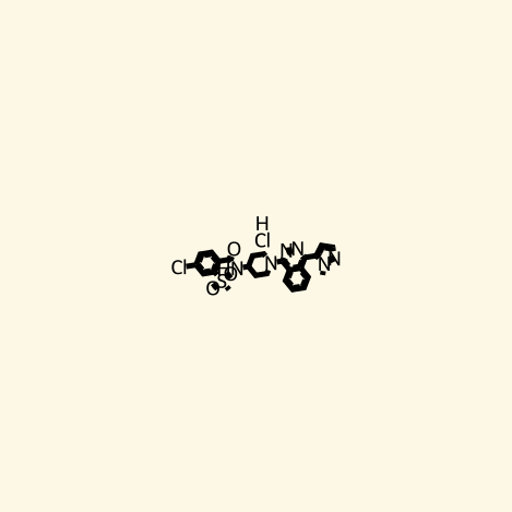 Cl.Cn1nccc1-c1nnc(N2CCC(NC(=O)c3ccc(Cl)cc3S(C)(=O)=O)CC2)c2ccccc12